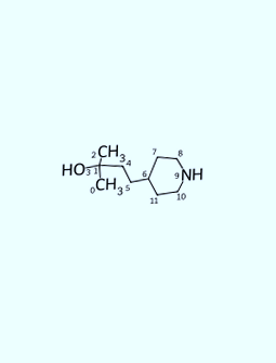 CC(C)(O)CCC1CCNCC1